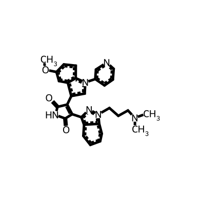 COc1ccc2c(c1)c(C1=C(c3nn(CCCN(C)C)c4ccccc34)C(=O)NC1=O)cn2-c1cccnc1